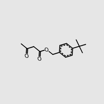 CC(=O)CC(=O)OCc1ccc(C(C)(C)C)cc1